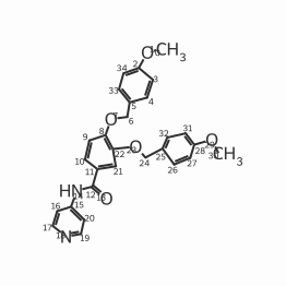 COc1ccc(COc2ccc(C(=O)Nc3ccncc3)cc2OCc2ccc(OC)cc2)cc1